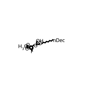 CCCCCCCCCCCCCCCCCCOCC(CO)OCc1cc(F)cc(S(C)(=O)=O)c1